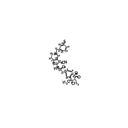 CC1(C)CS(=O)(=O)c2ccc(CC(=O)NC3SC4=C(CN(Cc5cccc(F)c5)CC4)C3C#N)cc21